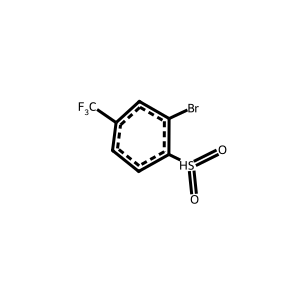 O=[SH](=O)c1ccc(C(F)(F)F)cc1Br